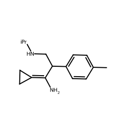 Cc1ccc(C(CNC(C)C)C(N)=C2CC2)cc1